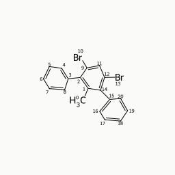 Cc1c(-c2ccccc2)c(Br)cc(Br)c1-c1ccccc1